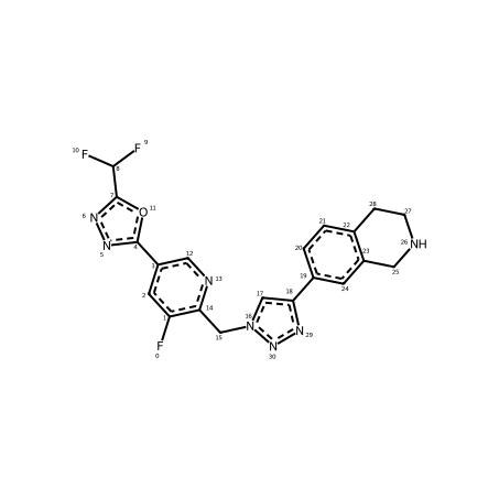 Fc1cc(-c2nnc(C(F)F)o2)cnc1Cn1cc(-c2ccc3c(c2)CNCC3)nn1